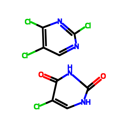 Clc1ncc(Cl)c(Cl)n1.O=c1[nH]cc(Cl)c(=O)[nH]1